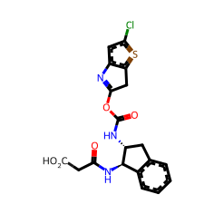 O=C(O)CC(=O)N[C@@H]1c2ccccc2C[C@H]1NC(=O)OC1=Nc2cc(Cl)sc2C1